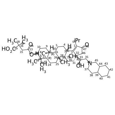 CC(C)C1=C2[C@H]3CC[C@@H]4[C@@]5(C)CC[C@H](OC(=O)CC(C)(C)C(=O)O)C(C)(C)[C@@H]5CC[C@@]4(C)[C@]3(C)CC[C@@]2([C@H](O)CN2CCC3CCCCC3C2)CC1=O